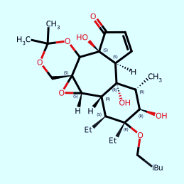 CCC(C)CO[C@@]1(CC)[C@H](O)[C@@H](C)[C@@]2(O)[C@H]([C@@H]1CC)[C@@H]1O[C@@]13COC(C)(C)OC3[C@]1(O)C(=O)C=C[C@@H]21